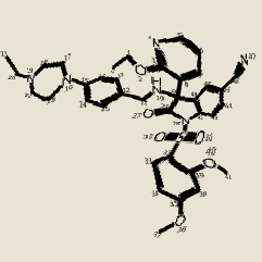 CCOc1ncccc1C1(NCc2ccc(N3CCN(CC)CC3)cc2)C(=O)N(S(=O)(=O)c2ccc(OC)cc2OC)c2ccc(C#N)cc21